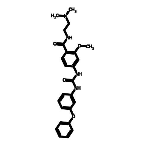 COc1cc(NC(=O)Nc2cccc(Oc3ccccc3)c2)ccc1C(=O)NCCN(C)C